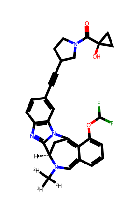 [2H]C([2H])([2H])N1C=c2cccc(OC(F)F)c2=C2C[C@@H]1c1nc3ccc(C#CC4CCN(C(=O)C5(O)CC5)C4)cc3n12